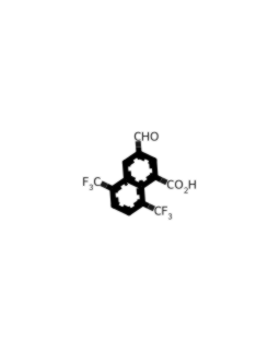 O=Cc1cc(C(=O)O)c2c(C(F)(F)F)ccc(C(F)(F)F)c2c1